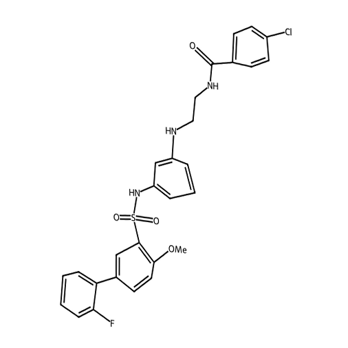 COc1ccc(-c2ccccc2F)cc1S(=O)(=O)Nc1cccc(NCCNC(=O)c2ccc(Cl)cc2)c1